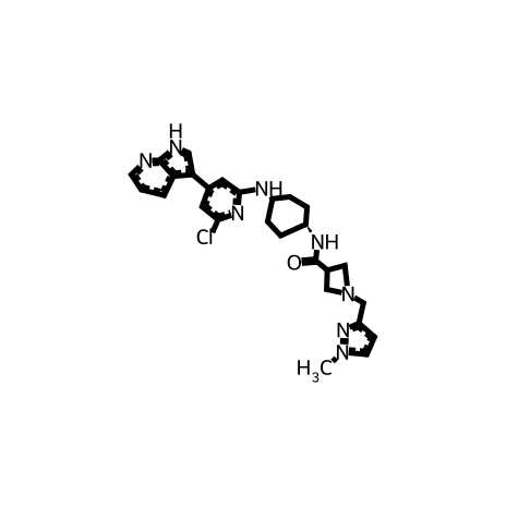 Cn1ccc(CN2CC(C(=O)N[C@H]3CC[C@H](Nc4cc(-c5c[nH]c6ncccc56)cc(Cl)n4)CC3)C2)n1